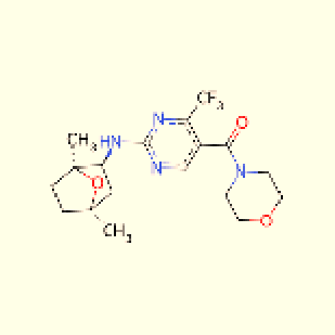 C[C@]12CC[C@](C)(O1)[C@@H](Nc1ncc(C(=O)N3CCOCC3)c(C(F)(F)F)n1)C2